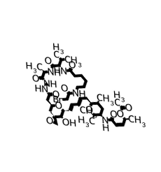 CC(=O)O[C@@H](C)/C=C\C(=O)N[C@@H]1C[C@H](C)[C@H](C/C=C(C)/C=C/[C@H]2O[C@H](CC(=O)NNC(=O)[C@H](C)NC(=O)[C@@H](NC(=O)CCCCCNC(=O)CBr)C(C)C)C[C@@]3(CO3)[C@@H]2O)O[C@@H]1C